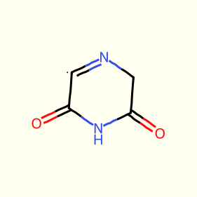 O=C1[C]=NCC(=O)N1